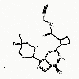 C#CCNC(=O)C1CCC1c1nc2c(cnn2C2CCC(F)(F)CC2)c(=O)[nH]1